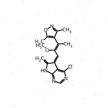 C=c1[nH]c2ncnc(Cl)c2/c1=C/C(OC)=C(\C)c1c(C)noc1C